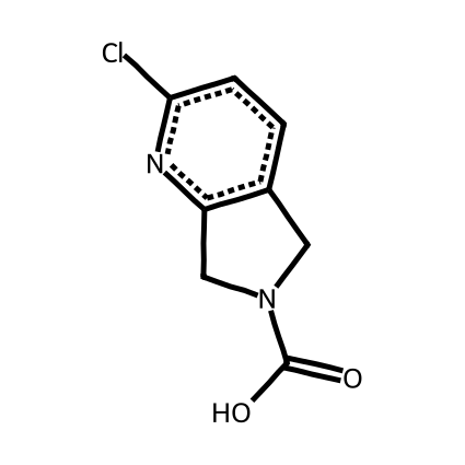 O=C(O)N1Cc2ccc(Cl)nc2C1